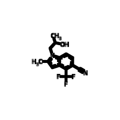 Cc1cc2c(C(F)(F)F)c(C#N)ccc2n1CC(C)O